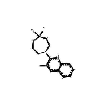 Cc1cc2ccccc2nc1N1CCCC(F)(F)CC1